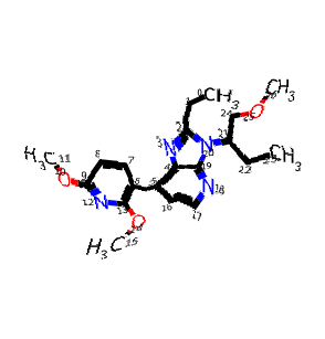 CCc1nc2c(-c3ccc(OC)nc3OC)ccnc2n1C(CC)COC